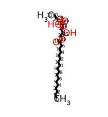 CCCCCCCCCCCCCCCCCC(=O)OCC(O)COP(=O)(O)OCCC